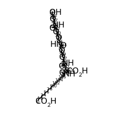 O=C(O)CCCCCCCCCCCCCCCCC(=O)N[C@@H](CCC(=O)NCCOCCOCC(=O)NCCOCCOCC(=O)NCCOCCO)C(=O)O